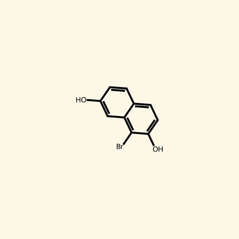 Oc1ccc2ccc(O)c(Br)c2c1